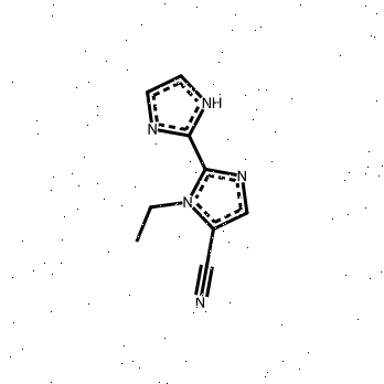 CCn1c(C#N)cnc1-c1ncc[nH]1